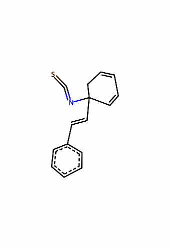 S=C=NC1(C=Cc2ccccc2)C=CC=CC1